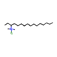 CCCCCCCCCCCCCC(CC)[N+](C)(C)Cl